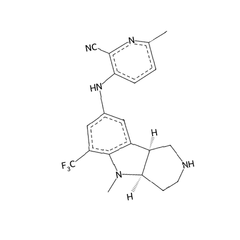 Cc1ccc(Nc2cc3c(c(C(F)(F)F)c2)N(C)[C@@H]2CCNC[C@H]32)c(C#N)n1